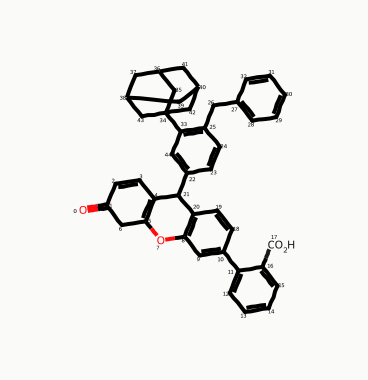 O=C1C=CC2=C(C1)Oc1cc(-c3ccccc3C(=O)O)ccc1C2c1ccc(Cc2ccccc2)c(C23CC4CC(CC(C4)C2)C3)c1